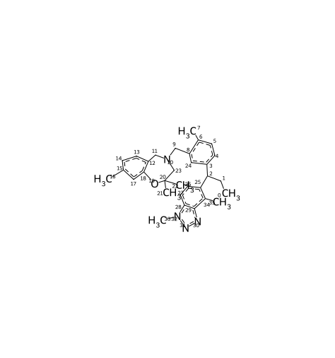 CCC(c1ccc(C)c(CN2Cc3ccc(C)cc3OC(C)(C)C2)c1)c1ccc2c(nnn2C)c1C